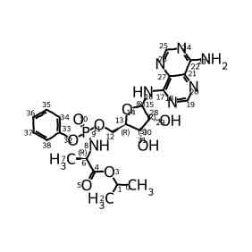 CC(C)OC(=O)[C@@H](C)NP(=O)(OC[C@H]1O[C@@H](Nc2ncnc3c(N)ncnc23)[C@H](O)[C@@H]1O)Oc1ccccc1